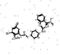 COc1c(Br)cc(Br)cc1CNC[C@H]1CC[C@@H](Nc2nc(N(C)C)c3ccccc3n2)CC1